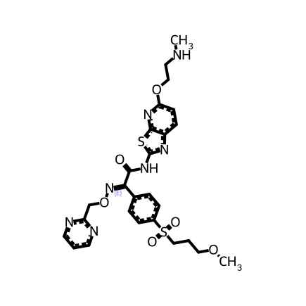 CNCCOc1ccc2nc(NC(=O)/C(=N/OCc3ncccn3)c3ccc(S(=O)(=O)CCCOC)cc3)sc2n1